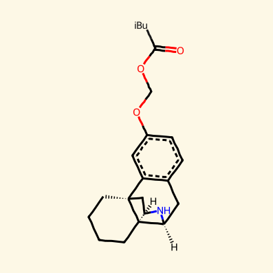 CCC(C)C(=O)OCOc1ccc2c(c1)[C@]13CCCC[C@@H]1[C@H](C2)NCC3